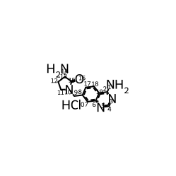 Cl.Nc1ncnc2cc(CN3CC[C@H](N)C3=O)ccc12